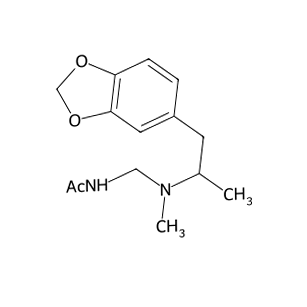 CC(=O)NCN(C)C(C)Cc1ccc2c(c1)OCO2